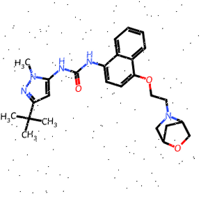 Cn1nc(C(C)(C)C)cc1NC(=O)Nc1ccc(OCCN2CC3CC2CO3)c2ccccc12